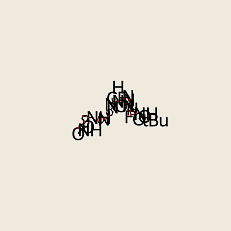 CC(C)(C)OC(=O)N[C@@H]1C[C@@H](F)CN(c2ccn3ncc(C(=O)Nc4cn(C5CCC(CN6CCC(CNc7cccc(C8CCC(=O)NC8=O)c7)CC6)CC5)nc4C(F)(F)F)c3n2)C1